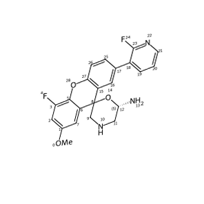 COc1cc(F)c2c(c1)C1(CNC[C@@H](N)O1)c1cc(-c3cccnc3F)ccc1O2